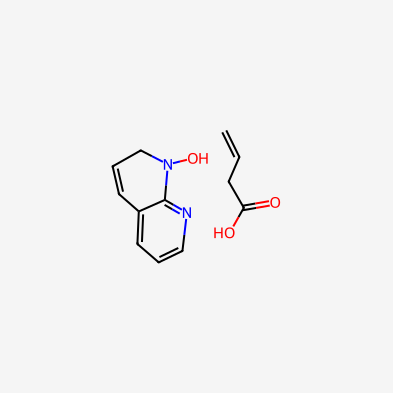 C=CCC(=O)O.ON1CC=Cc2cccnc21